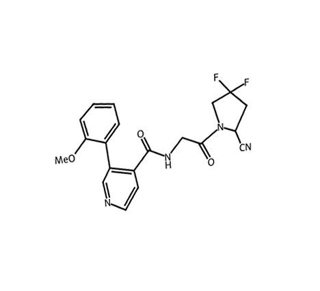 COc1ccccc1-c1cnccc1C(=O)NCC(=O)N1CC(F)(F)CC1C#N